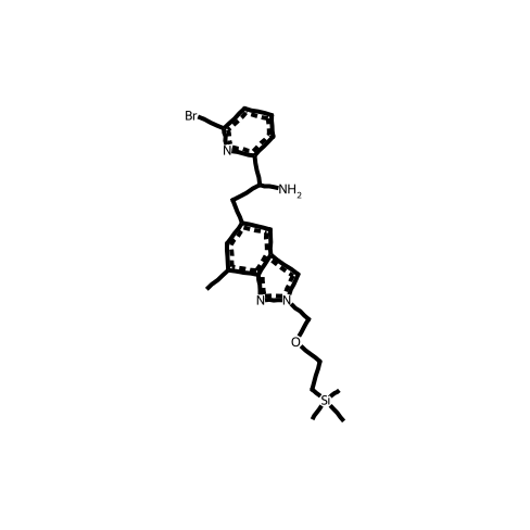 Cc1cc(CC(N)c2cccc(Br)n2)cc2cn(COCC[Si](C)(C)C)nc12